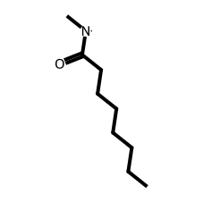 CCCCCCCC(=O)[N]C